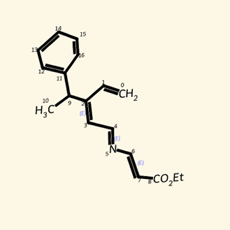 C=C\C(=C/C=N/C=C/C(=O)OCC)C(C)c1ccccc1